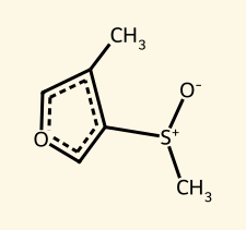 Cc1cocc1[S+](C)[O-]